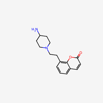 NC1CCN(CCc2cccc3ccc(=O)oc23)CC1